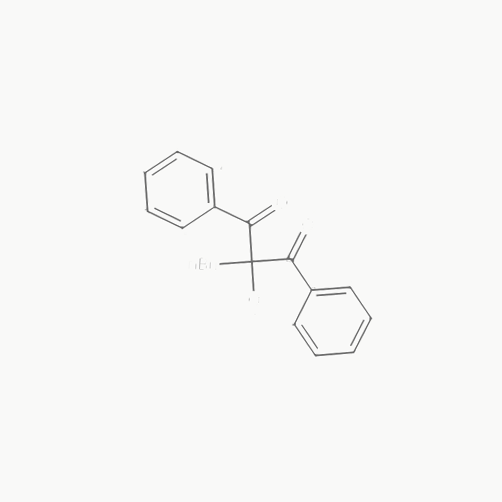 CCCCC([O])(C(=O)c1ccccc1)C(=O)c1ccccc1